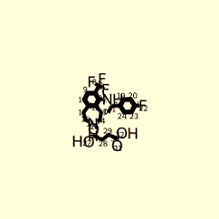 CC(Nc1c(C(F)(F)F)ccc2c1CCNCC2)c1ccc(F)cc1.O=C(O)CCC(=O)O